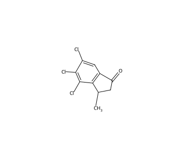 CC1CC(=O)c2cc(Cl)c(Cl)c(Cl)c21